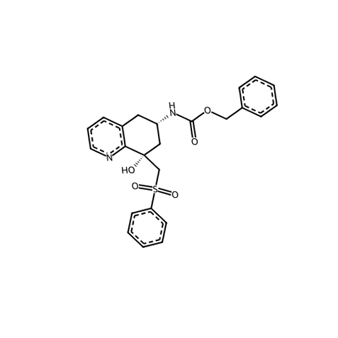 O=C(N[C@H]1Cc2cccnc2[C@](O)(CS(=O)(=O)c2ccccc2)C1)OCc1ccccc1